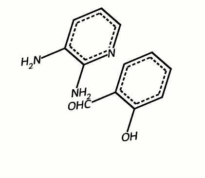 Nc1cccnc1N.O=Cc1ccccc1O